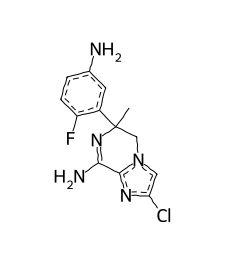 CC1(c2cc(N)ccc2F)Cn2cc(Cl)nc2C(N)=N1